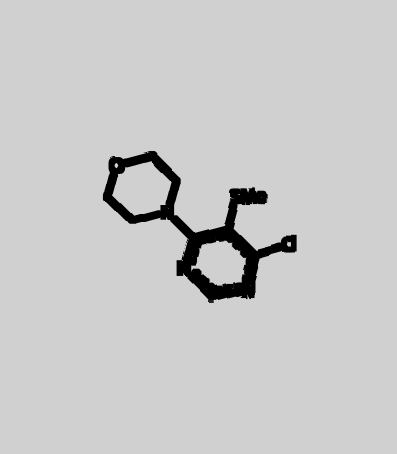 CSc1c(Cl)n[c]nc1N1CCOCC1